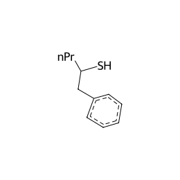 CCCC(S)Cc1ccccc1